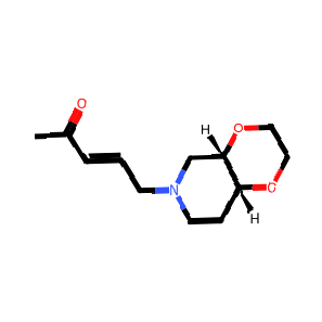 CC(=O)/C=C/CN1CC[C@H]2OCCO[C@H]2C1